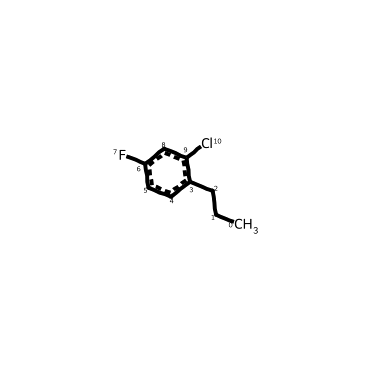 CCCc1ccc(F)cc1Cl